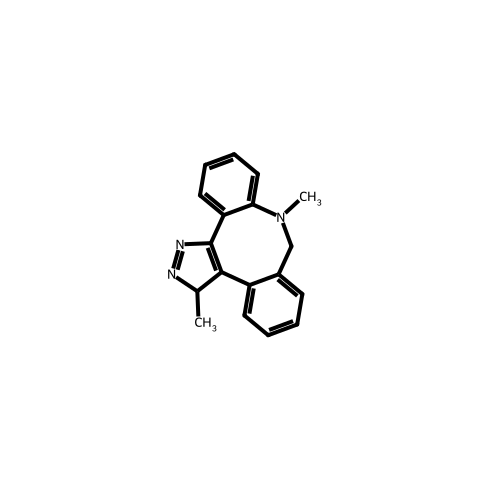 CC1N=NC2=C1c1ccccc1CN(C)c1ccccc12